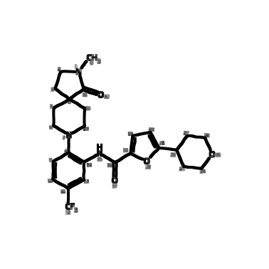 CN1CCC2(CCN(c3ccc(C(F)(F)F)cc3NC(=O)c3ccc(C4CCOCC4)o3)CC2)C1=O